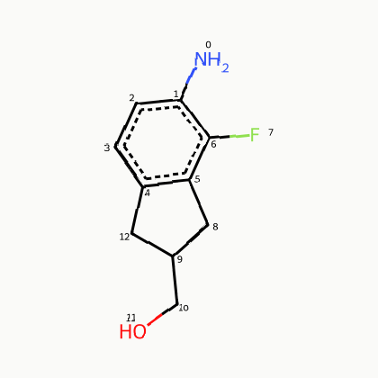 Nc1ccc2c(c1F)CC(CO)C2